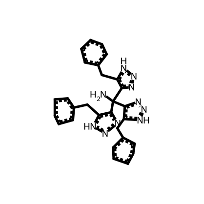 NC(c1nn[nH]c1Cc1ccccc1)(c1nn[nH]c1Cc1ccccc1)c1nn[nH]c1Cc1ccccc1